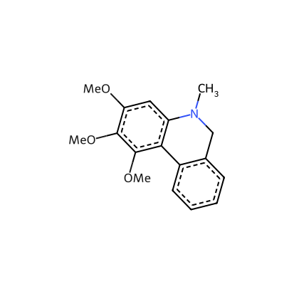 COc1cc2c(c(OC)c1OC)-c1ccccc1CN2C